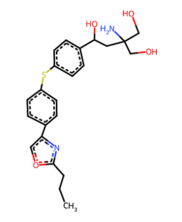 CCCc1nc(-c2ccc(Sc3ccc(C(O)CC(N)(CO)CO)cc3)cc2)co1